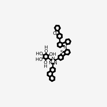 Oc1c(O)c(O)c(-c2nc(-c3ccc4c(ccc5ccccc54)c3)nc(-c3ccc4c(c3)sc3c(-n5c6ccccc6c6c(-c7ccc8c(c7)oc7ccccc78)cccc65)cccc34)n2)c(O)c1O